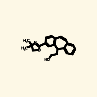 CC1(C)COC(c2ccc3c(c2)C(CCO)c2ccccc2C=C3)=N1